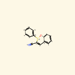 N#CC(=Cc1ccccc1)[S+]([O-])c1ccccc1